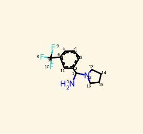 NC(c1c[c]cc(C(F)(F)F)c1)N1CCCC1